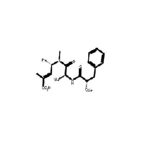 CN[C@@H](Cc1ccccc1)C(=O)N[C@H](C(=O)N(C)[C@H](/C=C(\C)C(=O)O)C(C)C)C(C)(C)C